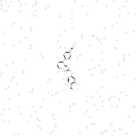 N#Cc1ccc(-c2cccn3nc(Nc4ccc(C(=O)O)c(F)c4)nc23)cc1